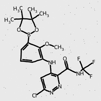 COc1c(Nc2cc(Cl)nnc2C(=O)NC(F)(F)F)cccc1B1OC(C)(C)C(C)(C)O1